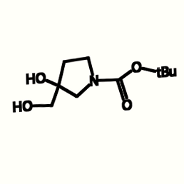 CC(C)(C)OC(=O)N1CCC(O)(CO)C1